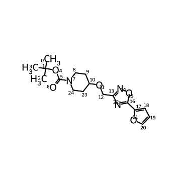 CC(C)(C)OC(=O)N1CCC(OCc2noc(-c3ccco3)n2)CC1